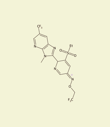 CCS(=O)(=O)C1=C/C(=N/OCC(F)(F)F)C=NC1c1nc2cc(C(F)(F)F)cnc2n1C